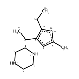 C1CNCCN1.CCc1cc(C)[nH]c1CC